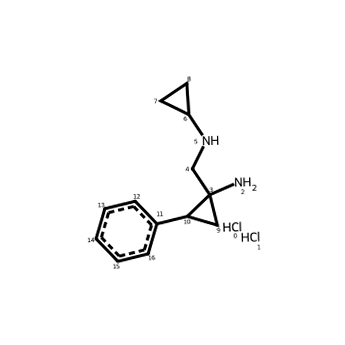 Cl.Cl.NC1(CNC2CC2)CC1c1ccccc1